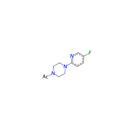 CC(=O)N1CCN(c2ccc(F)cn2)CC1